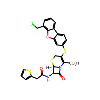 O=C(Cc1cccs1)N[C@@H]1C(=O)N2C(C(=O)O)=C(Sc3ccc4c(c3)oc3c(CCl)cccc34)CS[C@H]12